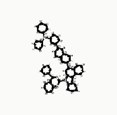 c1ccc(-c2nc(-n3c4ccccc4c4c5ccccc5c(-c5ccc6cc(-c7cccc(N(c8ccccc8)c8ccccc8)c7)ccc6c5)cc43)nc3ccccc23)cc1